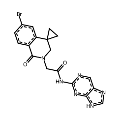 O=C(CN1CC2(CC2)c2cc(Br)ccc2C1=O)Nc1ncc2nc[nH]c2n1